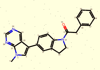 Cn1cc(-c2ccc3c(c2)CCN3C(=O)Cc2ccccc2)c2cncnc21